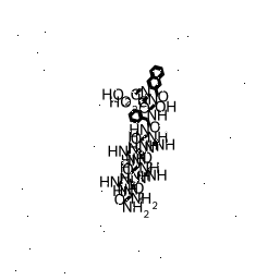 N=C(N)NC(NC(=O)C(NC(=N)N)NC(=O)C(NC(=N)N)NC(=O)C(NC(=N)N)NC(=O)C(NC(=O)C(O)NC(=O)c1cc2ccccc2cc1N(CC(=O)O)CC(=O)O)c1ccccc1)C(=O)NC(N)C(N)=O